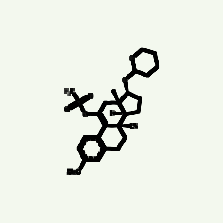 COc1ccc2c(c1)CC[C@]1(C#N)C2=C(OS(=O)(=O)C(F)(F)F)C[C@]2(C)[C@@H](OC3CCCCO3)CC[C@H]21